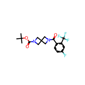 CC(C)(C)OC(=O)N1CC2(C1)CN(C(=O)c1ccc(F)cc1C(F)(F)F)C2